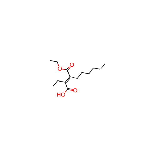 CCCCCCC(C(=O)OCC)=C(CC)C(=O)O